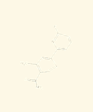 Cc1cc(-c2cccc(F)n2)ccc1C(N)=O